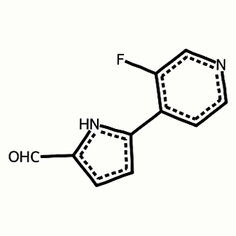 O=Cc1ccc(-c2ccncc2F)[nH]1